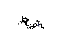 CCN(C)/C=N/c1cc(C)c(C(=O)OCc2ccc(F)cc2Cl)cc1Br